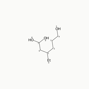 CCC(CCCO)CC(O)O